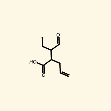 C=CCC(C(=O)O)C(C=O)CC